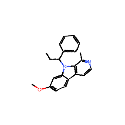 CCC(c1ccccc1)n1c2cc(OC)ccc2c2ccnc(C)c21